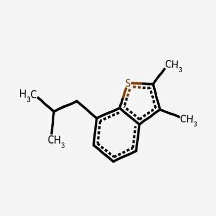 Cc1sc2c(CC(C)C)cccc2c1C